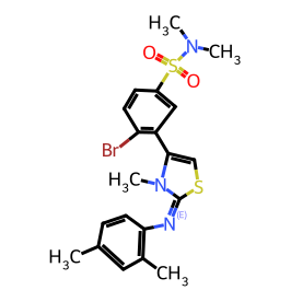 Cc1ccc(/N=c2/scc(-c3cc(S(=O)(=O)N(C)C)ccc3Br)n2C)c(C)c1